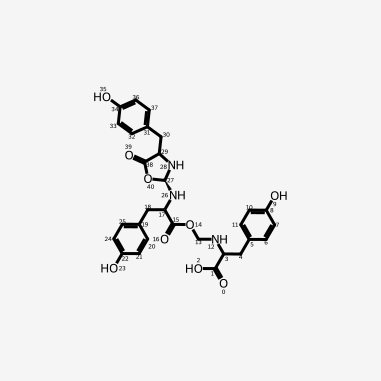 O=C(O)C(Cc1ccc(O)cc1)NCOC(=O)C(Cc1ccc(O)cc1)N[C@@H]1NC(Cc2ccc(O)cc2)C(=O)O1